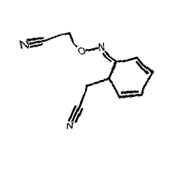 N#CCO/N=C1/C=CC=CC1CC#N